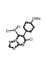 CCN(CC)c1c(-c2ccc(OC)cc2)c(Cl)nc2ncnn12